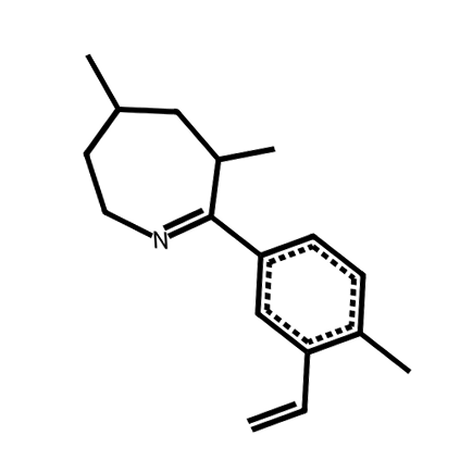 C=Cc1cc(C2=NCCC(C)CC2C)ccc1C